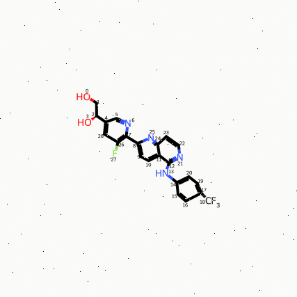 OC[C@H](O)c1cnc(-c2ccc3c(Nc4ccc(C(F)(F)F)cc4)nccc3n2)c(F)c1